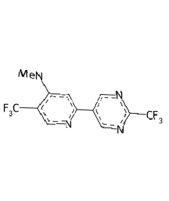 CNc1cc(-c2cnc(C(F)(F)F)nc2)ncc1C(F)(F)F